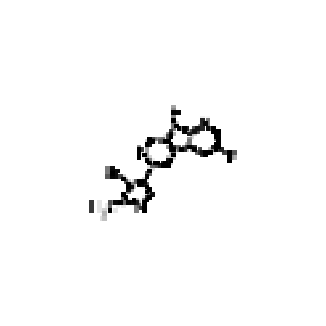 Cn1ncc(-c2cc3c(cn2)[nH]c2ncc(F)cc23)c1Br